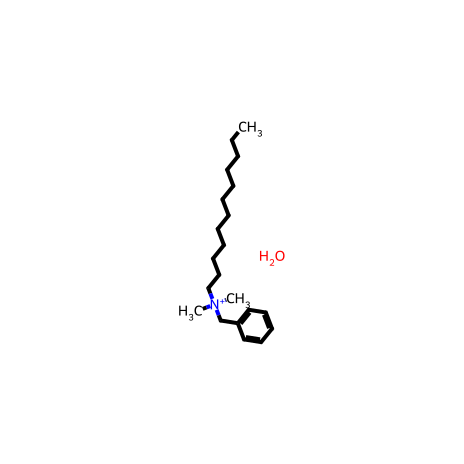 CCCCCCCCCCCC[N+](C)(C)Cc1ccccc1.O